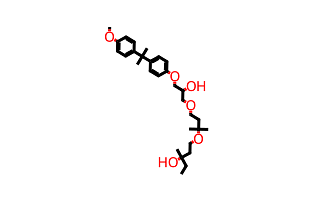 CCC(C)(O)CCOC(C)(C)CCOCC(O)COc1ccc(C(C)(C)c2ccc(OC)cc2)cc1